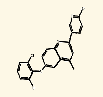 Cc1cc(-c2ccc(Br)nc2)nc2ccc(Oc3c(Cl)cccc3Cl)cc12